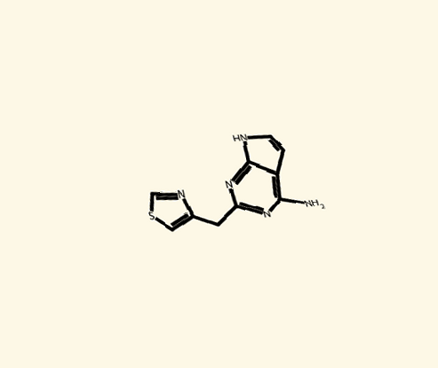 Nc1nc(Cc2cscn2)nc2[nH]ccc12